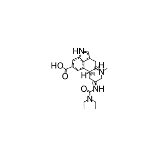 CCN(CC)C(=O)N[C@H]1C[C@@H]2c3cc(C(=O)O)cc4[nH]cc(c34)C[C@H]2N(C)C1